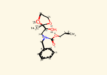 C=CCOC(=O)N(Cc1ccccc1)CC(O)C1(C)OCCO1